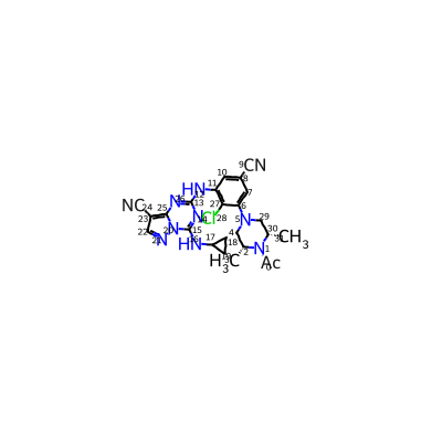 CC(=O)N1[C@H](C)CN(c2cc(C#N)cc(Nc3nc(NC4CC4)n4ncc(C#N)c4n3)c2Cl)C[C@@H]1C